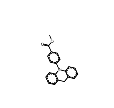 COC(=O)c1ccc([S+]2c3ccccc3Cc3ccccc32)cc1